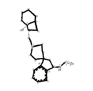 CCOC(=O)N[C@@H]1CC2(CCN(C[C@H]3CC4CCCC[C@@H]43)CC2)c2ccccc21